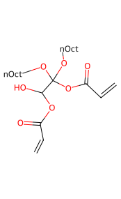 C=CC(=O)OC(O)C(OCCCCCCCC)(OCCCCCCCC)OC(=O)C=C